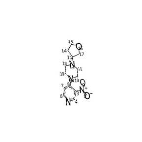 O=[N+]([O-])c1cnccc1N1CCN(C2CCOC2)CC1